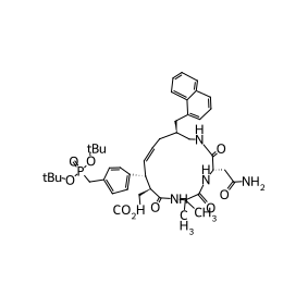 CC(C)(C)OP(=O)(Cc1ccc([C@@H]2C=CC[C@@H](Cc3cccc4ccccc34)CNC(=O)[C@H](CC(N)=O)NC(=O)C(C)(C)NC(=O)[C@H]2CC(=O)O)cc1)OC(C)(C)C